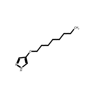 CCCCCCCCOc1[c]n[nH]c1